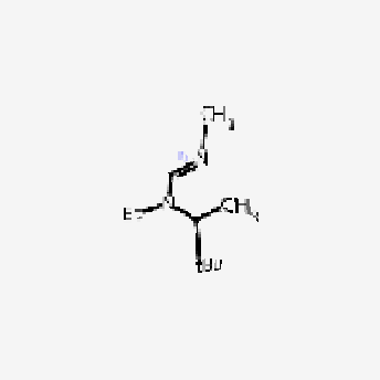 CCN(/C=N/C)C(C)C(C)(C)C